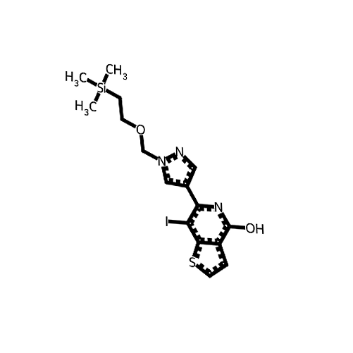 C[Si](C)(C)CCOCn1cc(-c2nc(O)c3ccsc3c2I)cn1